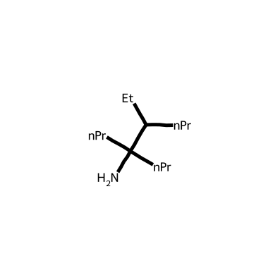 CCCC(CC)C(N)(CCC)CCC